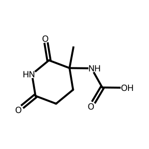 CC1(NC(=O)O)CCC(=O)NC1=O